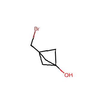 OC12CC(CBr)(C1)C2